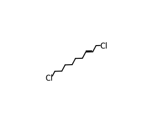 ClCC=CCCCCCCCl